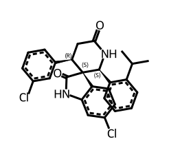 CC(C)c1ccccc1[C@@H]1NC(=O)C[C@H](c2cccc(Cl)c2)[C@@]12C(=O)Nc1cc(Cl)ccc12